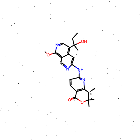 CCC(C)(O)c1cnc(OC)c2cnc(Nc3ccc4c(n3)[C@@H](C)C(C)(C)OC4=O)cc12